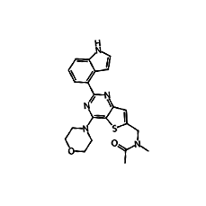 CC(=O)N(C)Cc1cc2nc(-c3cccc4[nH]ccc34)nc(N3CCOCC3)c2s1